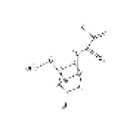 C=C(C)C(=O)OC1C2CCC(C(C)C2)C1OC=O